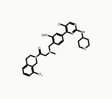 CN(CC(=O)N1CCc2cccc(C(F)(F)F)c2C1)Cc1ccc(-c2nc(NC3CCOCC3)ncc2Cl)cc1C=O